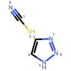 N#CS.c1c[nH]nn1